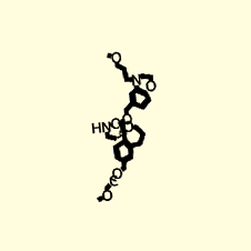 COCCCN1CCOc2ccc(CO[C@H]3CNCC[C@@]34OCCCc3cc(COCCOC)ccc34)cc21